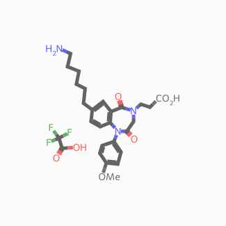 COc1ccc(N2C(=O)CN(CCC(=O)O)C(=O)c3cc(CCCCCCN)ccc32)cc1.O=C(O)C(F)(F)F